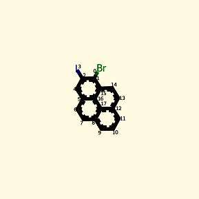 Brc1c(I)cc2ccc3cccc4ccc1c2c34